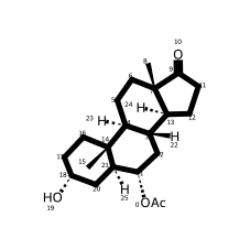 CC(=O)O[C@H]1C[C@@H]2[C@H](CC[C@]3(C)C(=O)CC[C@@H]23)[C@@]2(C)CC[C@@H](O)C[C@H]12